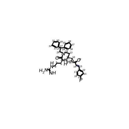 N=C(N)NCCC[C@@H]1N[C@H](CNC(=O)/C=C/c2ccc(F)cc2)CCN(CC(c2ccccc2)c2ccccc2)C1=O